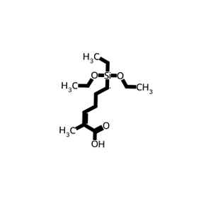 CCO[Si]([CH]CCC=C(C)C(=O)O)(CC)OCC